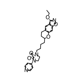 CCOc1noc2cc3c(cc12)CCC(CCCCN1CCN(c2ccncc2)S1(=O)=O)O3